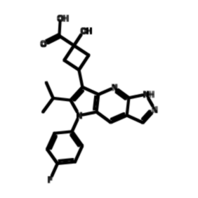 CC(C)c1c(C2CC(O)(C(=O)O)C2)c2nc3[nH]ncc3cc2n1-c1ccc(F)cc1